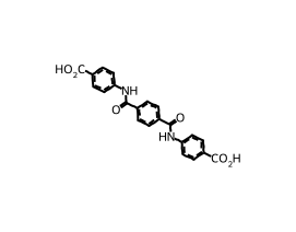 O=C(O)c1ccc(NC(=O)c2ccc(C(=O)Nc3ccc(C(=O)O)cc3)cc2)cc1